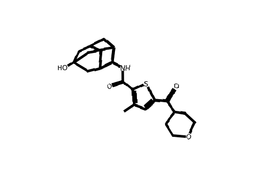 Cc1cc(C(=O)C2CCOCC2)sc1C(=O)NC1C2CC3CC1CC(O)(C3)C2